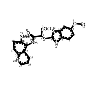 CCCCCCCCC(Sc1nc2ccc(OCC)cc2s1)C(=O)Nc1c(SC)ccc2ncccc12